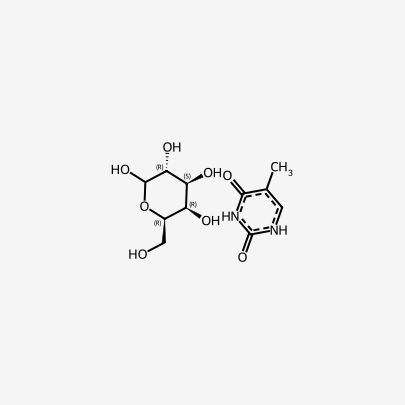 Cc1c[nH]c(=O)[nH]c1=O.OC[C@H]1OC(O)[C@H](O)[C@@H](O)[C@H]1O